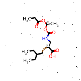 CCC(=O)O[C@@H](C)OC(=O)NC[C@H](SCC(CC)CC)C(=O)O